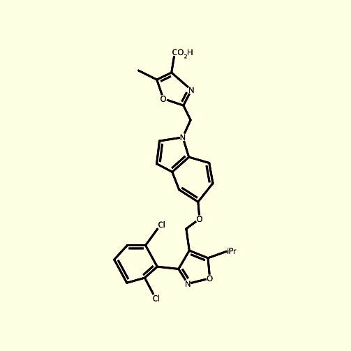 Cc1oc(Cn2ccc3cc(OCc4c(-c5c(Cl)cccc5Cl)noc4C(C)C)ccc32)nc1C(=O)O